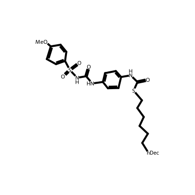 CCCCCCCCCCCCCCCCSC(=O)Nc1ccc(NC(=O)NS(=O)(=O)c2ccc(OC)cc2)cc1